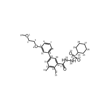 COCCOc1cccc(-c2cc(C)c(F)c(C(=O)NNS(=O)(=O)C3CCCCC3)c2)c1